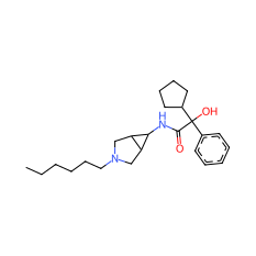 CCCCCCN1CC2C(C1)C2NC(=O)C(O)(c1ccccc1)C1CCCC1